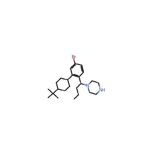 CCCC(c1ccc(Br)cc1C1CCC(C(C)(C)C)CC1)N1CCNCC1